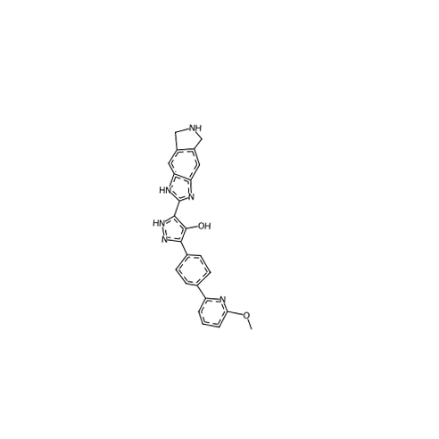 COc1cccc(-c2ccc(-c3n[nH]c(-c4nc5cc6c(cc5[nH]4)CNC6)c3O)cc2)n1